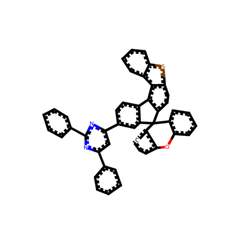 c1ccc(-c2cc(-c3ccc4c(c3)C3(c5ccccc5Oc5ccccc53)c3ccc5sc6ccccc6c5c3-4)nc(-c3ccccc3)n2)cc1